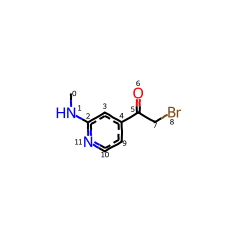 CNc1cc(C(=O)CBr)ccn1